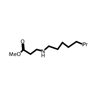 COC(=O)CCNCCCCCC(C)C